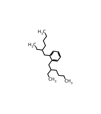 CCCCC(CC)Cc1ccccc1CC(CC)CCCC